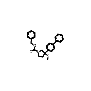 CSC1(c2ccc(-c3ccccc3)cc2)CCN(C(=O)OCc2ccccc2)C1